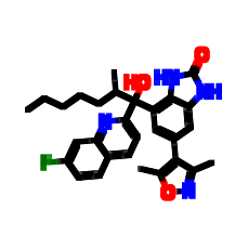 CCCCCC(C)C(O)(c1ccc2ccc(F)cc2n1)c1cc(-c2c(C)noc2C)cc2[nH]c(=O)[nH]c12